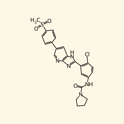 CS(=O)(=O)c1ccc(-c2cnc3nc(-c4cc(NC(=O)N5CCCC5)ccc4Cl)[nH]c3c2)cc1